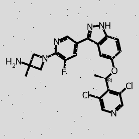 C[C@@H](Oc1ccc2[nH]nc(-c3cnc(N4CC(C)(N)C4)c(F)c3)c2c1)c1c(Cl)cncc1Cl